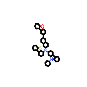 c1ccc(-n2c3ccccc3c3ccc(N(c4ccc5cc(-c6ccc7oc8ccccc8c7c6)ccc5c4)c4cccc5c4sc4ccccc45)cc32)cc1